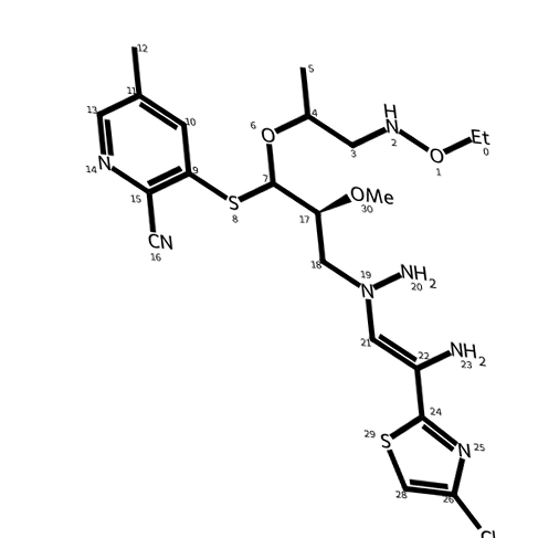 CCONCC(C)OC(Sc1cc(C)cnc1C#N)[C@H](CN(N)/C=C(\N)c1nc(Cl)cs1)OC